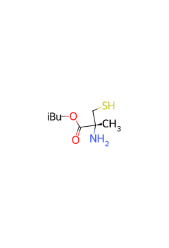 CCC(C)OC(=O)[C@@](C)(N)CS